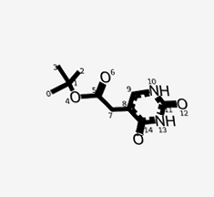 CC(C)(C)OC(=O)Cc1c[nH]c(=O)[nH]c1=O